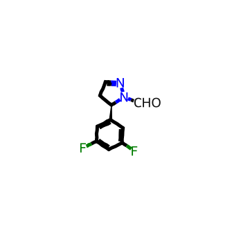 O=CN1N=CC[C@@H]1c1cc(F)cc(F)c1